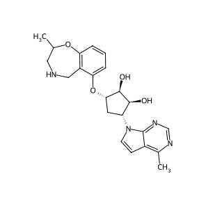 Cc1ncnc2c1ccn2[C@@H]1C[C@H](Oc2cccc3c2CNCC(C)O3)[C@@H](O)[C@H]1O